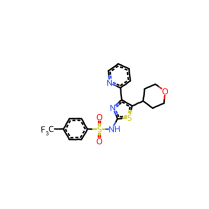 O=S(=O)(Nc1nc(-c2ccccn2)c(C2CCOCC2)s1)c1ccc(C(F)(F)F)cc1